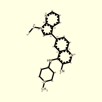 CN1CCC(Nc2c(C#N)cnc3ccc(-c4cn(SI)c5ncccc45)cc23)CC1